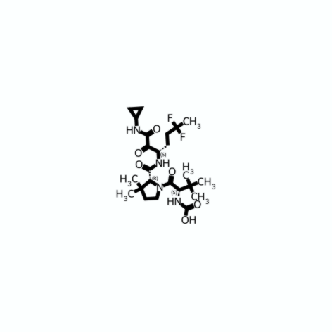 CC(F)(F)CC[C@H](NC(=O)[C@@H]1N(C(=O)[C@@H](NC(=O)O)C(C)(C)C)CCC1(C)C)C(=O)C(=O)NC1CC1